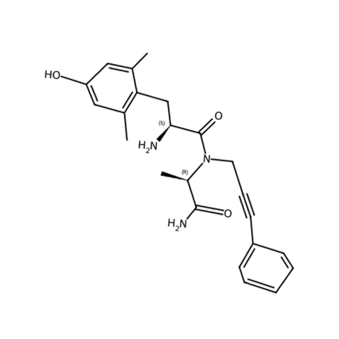 Cc1cc(O)cc(C)c1C[C@H](N)C(=O)N(CC#Cc1ccccc1)[C@H](C)C(N)=O